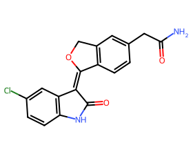 NC(=O)Cc1ccc2c(c1)CO/C2=C1/C(=O)Nc2ccc(Cl)cc21